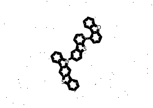 c1ccc2c(c1)oc1cccc(-c3cccc4c3sc3ccc(-n5c6ccccc6c6cc7sc8ccccc8c7cc65)cc34)c12